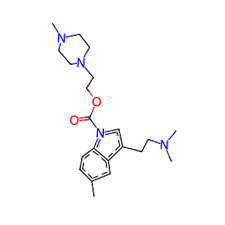 Cc1ccc2c(c1)c(CCN(C)C)cn2C(=O)OCCN1CCN(C)CC1